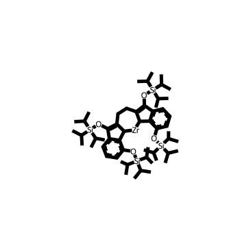 CC(C)[Si](OC1=C2CCC3=C(O[Si](C(C)C)(C(C)C)C(C)C)c4cccc(O[Si](C(C)C)(C(C)C)C(C)C)c4[CH]3[Zr][CH]2c2c(O[Si](C(C)C)(C(C)C)C(C)C)cccc21)(C(C)C)C(C)C